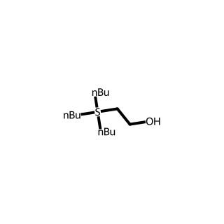 CCCCS(CCO)(CCCC)CCCC